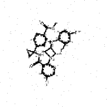 COC(=O)c1ccc(C2(NC(=O)c3cc(Cl)cnc3N3CC(Nc4ccc(F)cc4F)C3)CC2)cc1